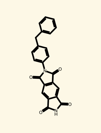 O=c1[nH]c(=O)c2cc3c(=O)n(-c4ccc(Cc5ccccc5)cc4)c(=O)c3cc12